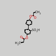 C=CC(=O)Oc1ccc(-c2ccc(OC(=O)C=C)cc2S(=O)(=O)O)cc1